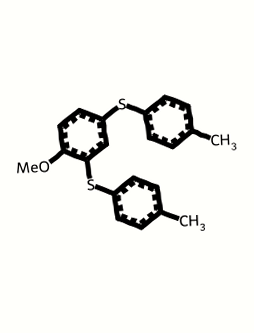 COc1ccc(Sc2ccc(C)cc2)cc1Sc1ccc(C)cc1